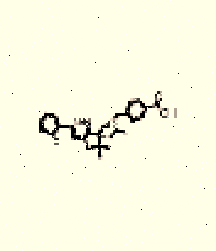 CCC[C@@]1(COCc2ccc(C(=O)O)cc2)c2nnc(-c3ccccc3F)cc2CC1(C)C